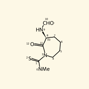 CNC(=S)N1CCCC[C@H](N[C]=O)C1=O